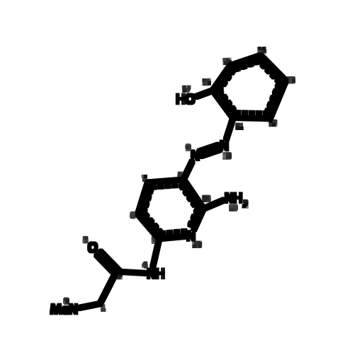 CNCC(=O)Nc1ccc(/N=N/c2ccccc2O)c(N)n1